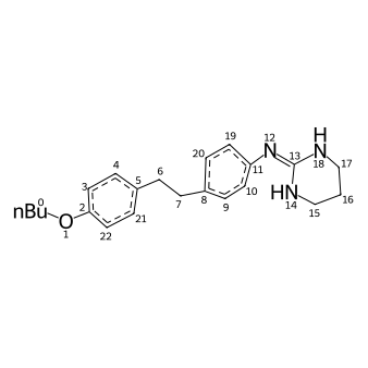 CCCCOc1ccc(CCc2ccc(N=C3NCCCN3)cc2)cc1